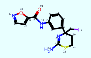 NC1=NC(CI)(c2cccc(NC(=O)c3ccno3)c2)CCS1